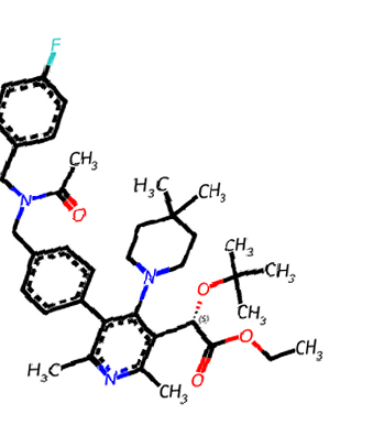 CCOC(=O)[C@@H](OC(C)(C)C)c1c(C)nc(C)c(-c2ccc(CN(Cc3ccc(F)cc3)C(C)=O)cc2)c1N1CCC(C)(C)CC1